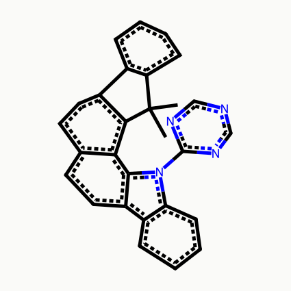 CC1(C)c2ccccc2-c2ccc3ccc4c5ccccc5n(-c5ncncn5)c4c3c21